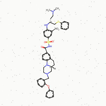 CN(C)CC[C@H](CSc1ccccc1)Nc1ccc(S(=O)(=O)NC(=O)c2ccc3c(c2)CC[C@@H]2CN(Cc4ccccc4Oc4ccccc4)CCN32)cc1[N+](=O)[O-]